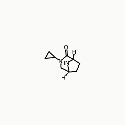 O=C1[C@@H]2CC[C@H](CN1C1CC1)N2